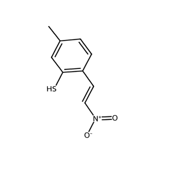 Cc1ccc(C=C[N+](=O)[O-])c(S)c1